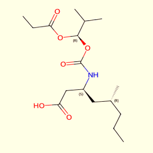 CCC[C@@H](C)C[C@@H](CC(=O)O)NC(=O)O[C@@H](OC(=O)CC)C(C)C